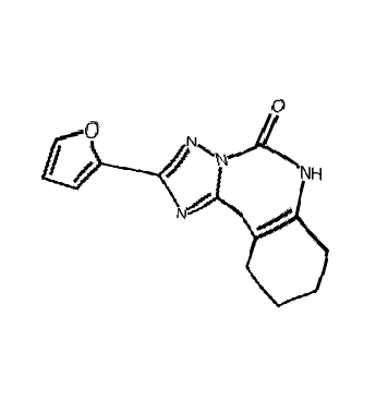 O=c1[nH]c2c(c3nc(-c4ccco4)nn13)CCCC2